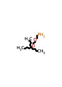 CCCCC(CCCC)(CCCC)OCCOCCP